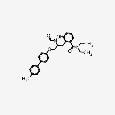 CCN(CC)C(=O)c1ccccc1CC(COc1ccc(-c2ccc(C)cc2)cc1)N(O)C=O